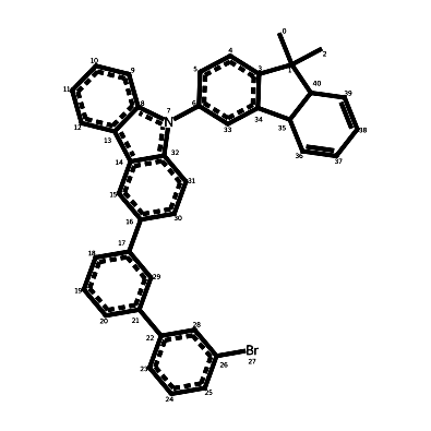 CC1(C)c2ccc(-n3c4ccccc4c4cc(-c5cccc(-c6cccc(Br)c6)c5)ccc43)cc2C2C=CC=CC21